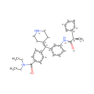 CCN(CC)C(=O)c1ccc(C(=C2CCNCC2)c2cccc(NC(=O)[C@H](C)c3ccccc3)c2)cc1